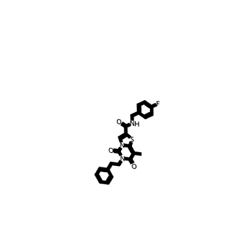 Cc1c(=O)n(CCc2ccccc2)c(=O)n2cc(C(=O)NCc3ccc(F)cc3)sc12